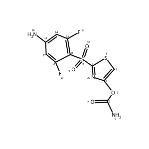 NC(=O)Oc1csc(S(=O)(=O)c2c(F)cc(N)cc2F)n1